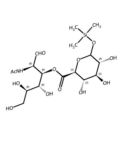 CC(=O)N[C@@H](C=O)[C@@H](OC(=O)[C@H]1OC(O[Si](C)(C)C)[C@H](O)[C@@H](O)[C@@H]1O)[C@H](O)[C@H](O)CO